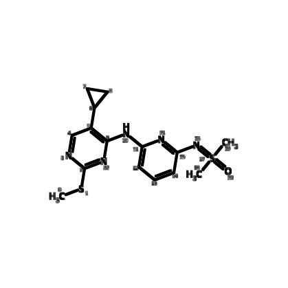 CSc1ncc(C2CC2)c(Nc2cccc(N=S(C)(C)=O)n2)n1